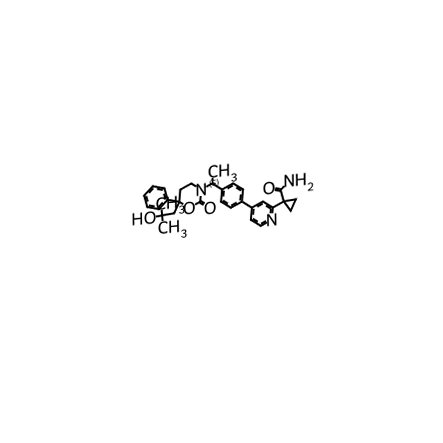 C[C@@H](c1ccc(-c2ccnc(C3(C(N)=O)CC3)c2)cc1)N1CCC(CC(C)(C)O)(c2ccccc2)OC1=O